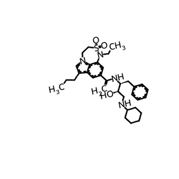 C=C(N[C@@H](Cc1ccccc1)[C@H](O)CNC1CCCCC1)c1cc2c3c(c1)c(CCC)cn3CCS(=O)(=O)N2CC